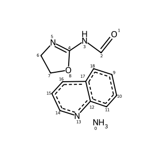 N.O=CNC1=NCCO1.c1ccc2ncccc2c1